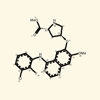 COC(=O)[C@H]1C[C@H](Oc2cc3c(Nc4cccc(Cl)c4F)ncnc3cc2OC)CN1